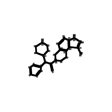 O=C(C(c1ccccc1)N1CCNCC1)N1CCc2c(cnc3[nH]nc(Br)c23)C1